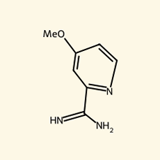 COc1ccnc(C(=N)N)c1